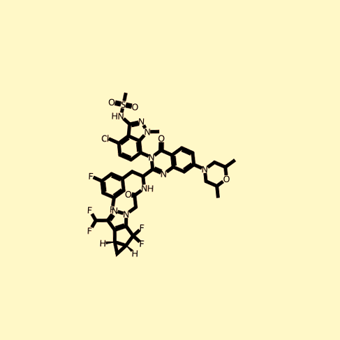 CC1CN(c2ccc3c(=O)n(-c4ccc(Cl)c5c(NS(C)(=O)=O)nn(C)c45)c(C(Cc4cc(F)cc(F)c4)NC(=O)Cn4nc(C(F)F)c5c4C(F)(F)[C@@H]4C[C@H]54)nc3c2)CC(C)O1